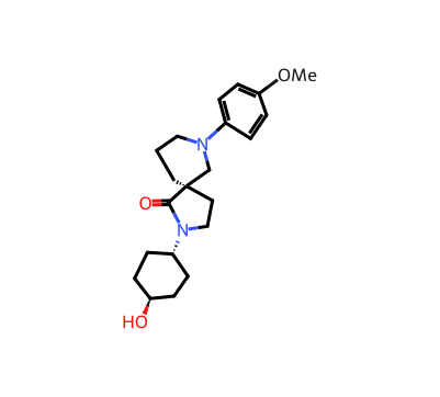 COc1ccc(N2CCC[C@@]3(CCN([C@H]4CC[C@H](O)CC4)C3=O)C2)cc1